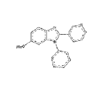 COc1ccc2nc(-c3cccnc3)n(-c3ccccc3)c2c1